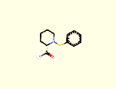 NC(=O)[C@@H]1CCCCN1Sc1ccccc1